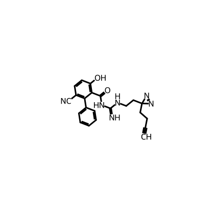 C#CCCC1(CCNC(=N)NC(=O)c2c(O)ccc(C#N)c2-c2ccccc2)N=N1